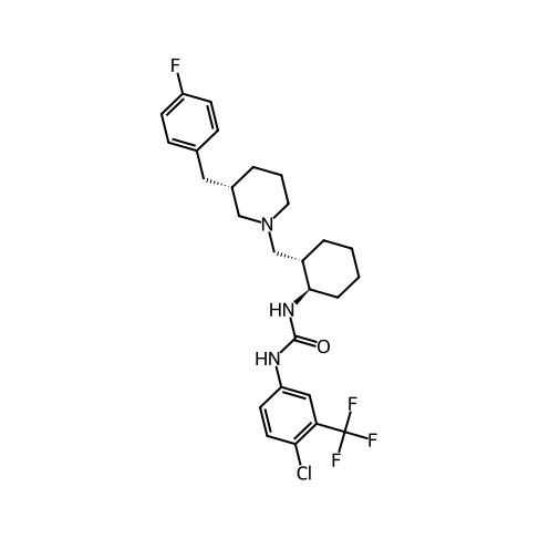 O=C(Nc1ccc(Cl)c(C(F)(F)F)c1)N[C@@H]1CCCC[C@H]1CN1CCC[C@@H](Cc2ccc(F)cc2)C1